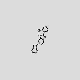 Clc1ccccc1-c1nc2c([nH]1)CN(C1Cc3ccccc31)CC2